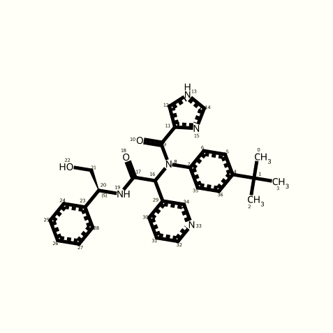 CC(C)(C)c1ccc(N(C(=O)c2c[nH]cn2)C(C(=O)N[C@H](CO)c2ccccc2)c2cccnc2)cc1